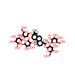 C=C1C[C@@]23CCC4C(C)(CCC[C@@]4(C)C(=O)OC4O[C@H](CO)C(O)[C@H](O)C4OC4O[C@H](CO)C(O)[C@H](O)C4O)C2CCC1(OC1O[C@H](CO)C(O)[C@H](OC2O[C@H](CO)C(O)[C@H](O)C2O)C1OC1O[C@H](CO)C(O)[C@H](O)C1O)C3